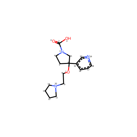 O=C(O)N1CCC(OCCN2CCCC2)(c2cccnc2)C1